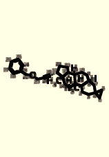 C[C@]12CCC3(CC3)C[C@H]1CC[C@@H]1[C@@H]2CC[C@]2(C)[C@H](C#CCOCc3ccccc3)CC[C@@H]12